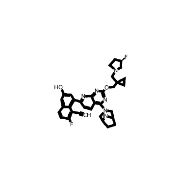 C#Cc1c(F)ccc2cc(O)cc(-c3ccc4c(N5CC6CCC(C5)N6)nc(OCC5(CN6CC[C@@H](F)C6)CC5)nc4n3)c12